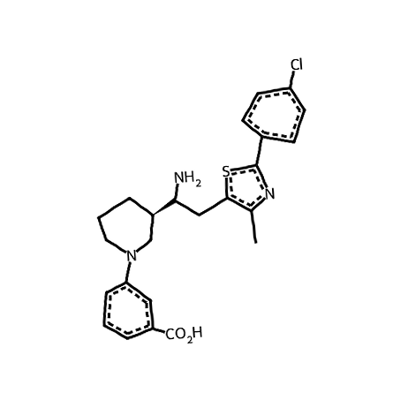 Cc1nc(-c2ccc(Cl)cc2)sc1CC(N)[C@@H]1CCCN(c2cccc(C(=O)O)c2)C1